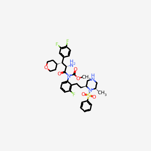 COC(=O)N(C(=O)[C@@H](N)[C@@H](c1ccc(F)c(F)c1)C1CCOCC1)c1cccc(F)c1CC[C@H]1CNC[C@H](C)N1S(=O)(=O)c1ccccc1